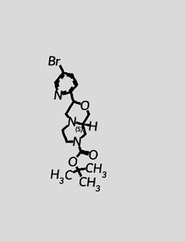 CC(C)(C)OC(=O)N1CCN2CC(c3ccc(Br)cn3)OC[C@@H]2C1